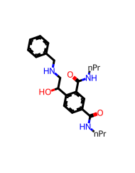 CCCNC(=O)c1ccc(C(O)CNCc2ccccc2)c(C(=O)NCCC)c1